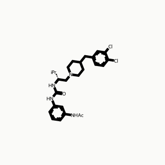 CC(=O)Nc1cccc(NC(=O)N[C@@H](CN2CCC(Cc3ccc(Cl)c(Cl)c3)CC2)C(C)C)c1